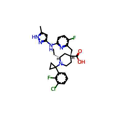 CC[C@@H]1C[C@](Cc2nc(Nc3cc(C)[nH]n3)ccc2F)(C(=O)O)CCN1C1(c2cccc(Cl)c2F)CC1